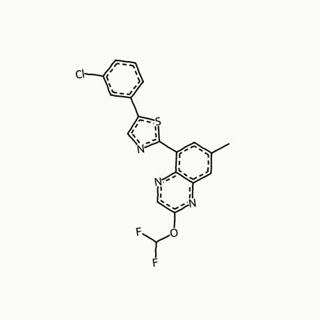 Cc1cc(-c2ncc(-c3cccc(Cl)c3)s2)c2ncc(OC(F)F)nc2c1